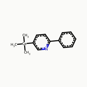 [CH3][Ge]([CH3])([CH3])[c]1ccc(-c2ccccc2)nc1